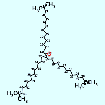 CC(C)CCCCCCCCCCCC[Si]([O])(CCCCCCCCCCCCC(C)C)CCCCCCCCCCCCC(C)C